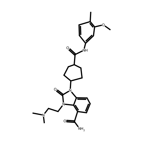 COc1cc(NC(=O)C2CCC(n3c(=O)n(CCN(C)C)c4c(C(N)=O)cccc43)CC2)ccc1C